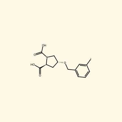 O=C(O)[C@@H]1C[C@@H](OCc2cccc(I)c2)CN1C(=O)O